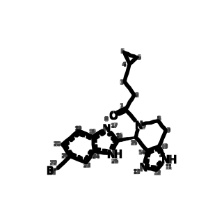 O=C(CCC1CC1)N1CCc2[nH]cnc2[C@H]1c1nc2ccc(Br)cc2[nH]1